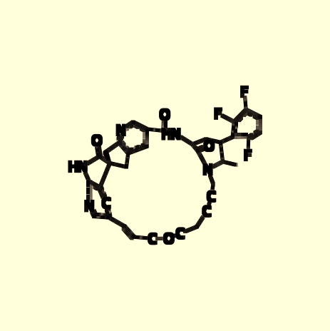 CC1C(c2c(F)ccc(F)c2F)CC2NC(=O)c3cnc4c(c3)C[C@@]3(C4)C(=O)Nc4ncc(cc43)/C=C/COCCCCCN1C2=O